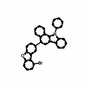 Brc1cccc2oc3ccc(-c4cc5c6ccccc6n(-c6ccccc6)c5c5ccccc45)cc3c12